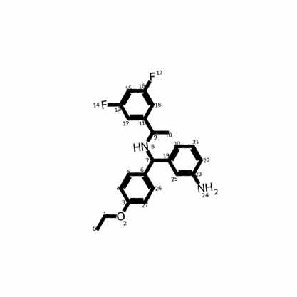 CCOc1ccc(C(NC(C)c2cc(F)cc(F)c2)c2cccc(N)c2)cc1